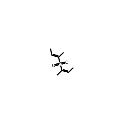 CC=C(C)S(=O)(=O)C(C)=CC